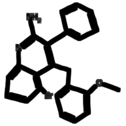 COc1ccccc1Cc1c(-c2ccccc2)c(N)nc2cccc(Br)c12